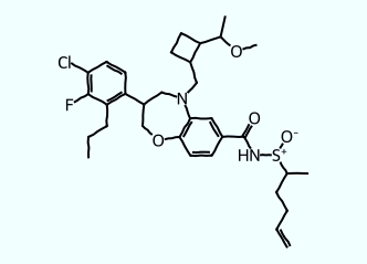 C=CCCC(C)[S+]([O-])NC(=O)c1ccc2c(c1)N(CC1CCC1C(C)OC)CC(c1ccc(Cl)c(F)c1CCC)CO2